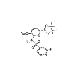 CCN(c1nc(B2OC(C)(C)C(C)(C)O2)ccc1OC)S(=O)(=O)c1ccnc(F)c1